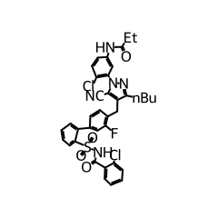 CCCCc1nn(-c2cc(NC(=O)CC)ccc2Cl)c(C#N)c1Cc1ccc(-c2ccccc2S(=O)(=O)NC(=O)c2ccccc2Cl)cc1F